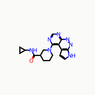 O=C(NC1CC1)C1CCCN(c2ncnc3nnc4[nH]ccc4c23)C1